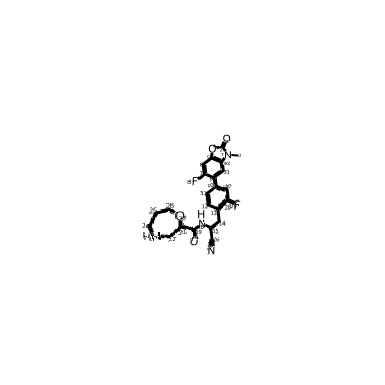 Cn1c(=O)oc2cc(F)c(-c3ccc(CC(C#N)NC(=O)C4CNCCCO4)c(F)c3)cc21